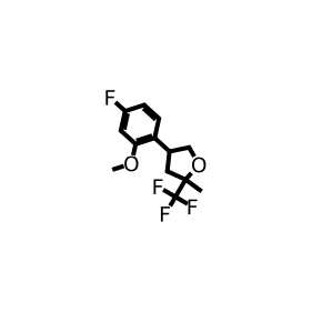 COc1cc(F)ccc1C1COC(C)(C(F)(F)F)C1